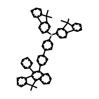 CC1(C)c2ccccc2-c2ccc(N(c3ccc(-c4ccc(-c5c(-c6ccccc6)c6c(c7ccccc57)C(C)(C)c5ccccc5-6)cc4)cc3)c3ccc4c(c3)C(C)(C)c3ccccc3-4)cc21